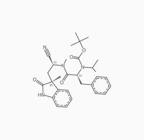 CC(C)N(C(=O)OC(C)(C)C)[C@@H](Cc1ccccc1)C(=O)N(C)[C@H](C#N)C[C@@]1(C)C(=O)Nc2ccccc21